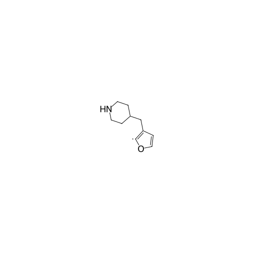 [c]1occc1CC1CCNCC1